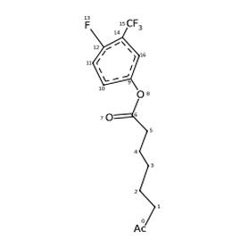 CC(=O)CCCCCC(=O)Oc1ccc(F)c(C(F)(F)F)c1